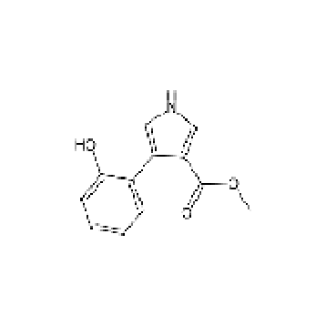 COC(=O)c1c[nH]cc1-c1ccccc1O